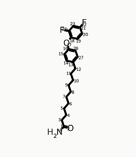 NC(=O)CCCCCCCCCCc1ccc(Oc2ccc(F)cc2F)cc1